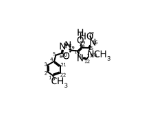 Cc1ccc(Cc2nnc(-c3ncn(C)/c(=N/O)c3O)o2)cc1